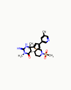 CN1C(=N)N[C@](C)(c2cc(-c3cncc(C#N)c3)cs2)[C@H](C2CCN(S(C)(=O)=O)CC2)C1=O